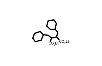 CCOC(=O)C(CC1CCCCC1)C(CC1CCCCC1)C(=O)OCC